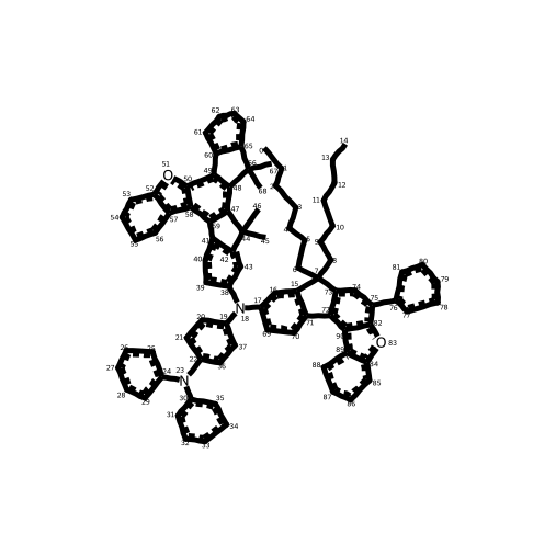 CCCCCCCC1(CCCCCCC)c2cc(N(c3ccc(N(c4ccccc4)c4ccccc4)cc3)c3ccc4c(c3)C(C)(C)c3c5c(c6oc7ccccc7c6c3-4)-c3ccccc3C5(C)C)ccc2-c2c1cc(-c1ccccc1)c1oc3ccccc3c21